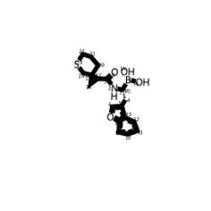 O=C(N[C@@H](Cc1coc2ccccc12)B(O)O)C1CC12CCCSC2